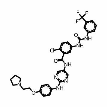 O=C(Nc1cccc(C(F)(F)F)c1)Nc1ccc(Cl)c(C(=O)Nc2cnc(Nc3ccc(OCCN4CCCC4)cc3)nc2)c1